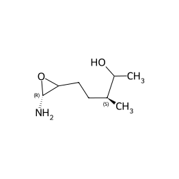 CC(O)[C@@H](C)CCC1O[C@H]1N